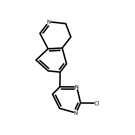 Clc1nccc(-c2ccc3c(c2)CCN=C3)n1